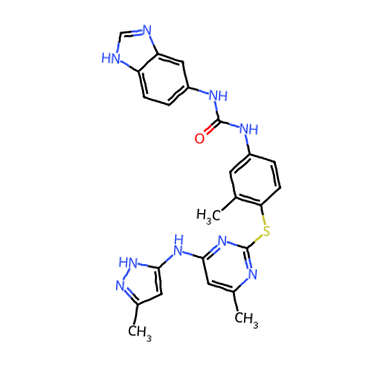 Cc1cc(Nc2cc(C)nc(Sc3ccc(NC(=O)Nc4ccc5[nH]cnc5c4)cc3C)n2)[nH]n1